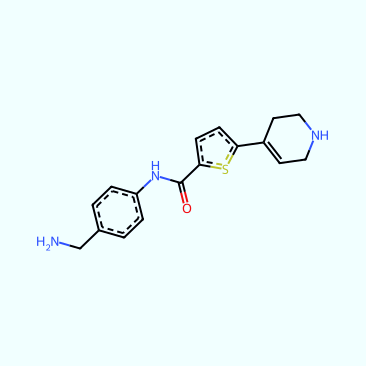 NCc1ccc(NC(=O)c2ccc(C3=CCNCC3)s2)cc1